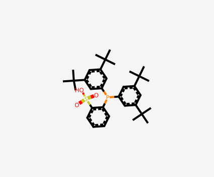 CC(C)(C)c1cc(P(c2cc(C(C)(C)C)cc(C(C)(C)C)c2)c2ccccc2S(=O)(=O)O)cc(C(C)(C)C)c1